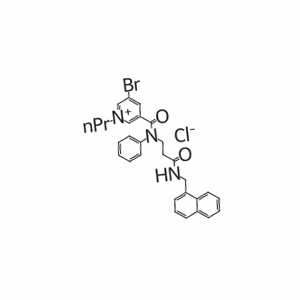 CCC[n+]1cc(Br)cc(C(=O)N(CCC(=O)NCc2cccc3ccccc23)c2ccccc2)c1.[Cl-]